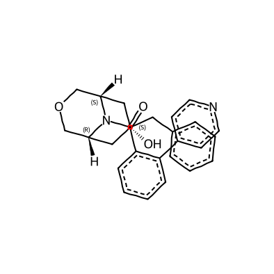 O=C(c1ccccc1-c1ccncc1)N1[C@@H]2COC[C@H]1C[C@](O)(Cc1ccccc1)C2